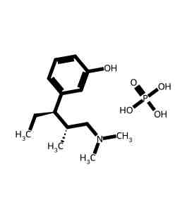 CC[C@@H](c1cccc(O)c1)[C@@H](C)CN(C)C.O=P(O)(O)O